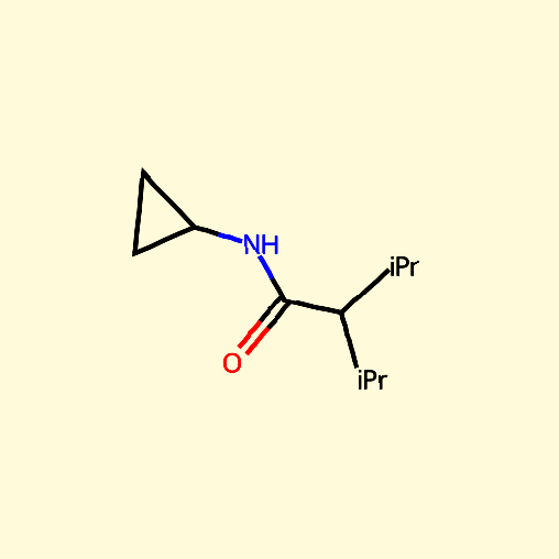 CC(C)C(C(=O)NC1CC1)C(C)C